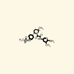 Cc1cc(NC(=O)C(=O)N2C[C@H](C)CC[C@H]2c2ccc(NS(C)(=O)=O)cc2)cnc1N